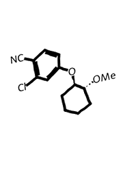 CO[C@@H]1CCCC[C@H]1Oc1ccc(C#N)c(Cl)c1